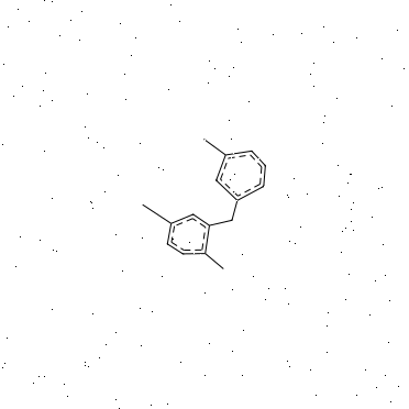 Cc1cccc(Cc2cc(C)ccc2C)c1